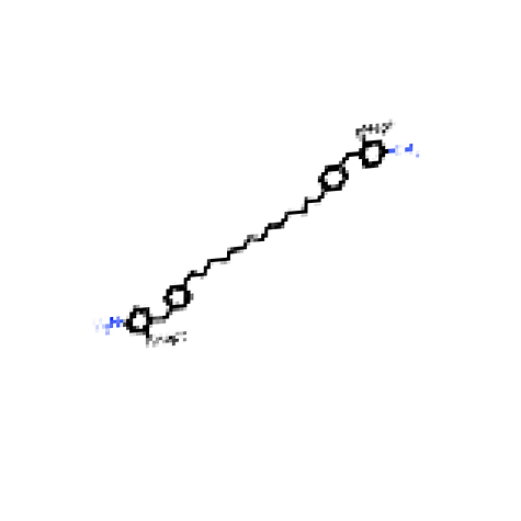 CCCCCCCc1cc(N)ccc1Cc1ccc(CCCCCCCCCCCCCCc2ccc(Cc3ccc(N)cc3CCCCCCC)cc2)cc1